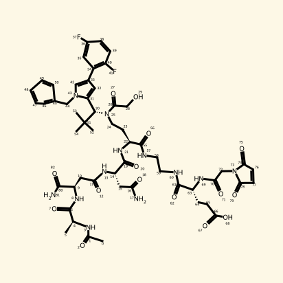 CC(=O)N[C@@H](C)C(=O)N[C@H](CC(=O)N[C@@H](CC(N)=O)C(=O)N[C@@H](CCN(C(=O)CO)[C@@H](c1cc(-c2cc(F)ccc2F)cn1Cc1ccccc1)C(C)(C)C)C(=O)NCCNC(=O)[C@@H](CCC(=O)O)NC(=O)CN1C(=O)C=CC1=O)C(N)=O